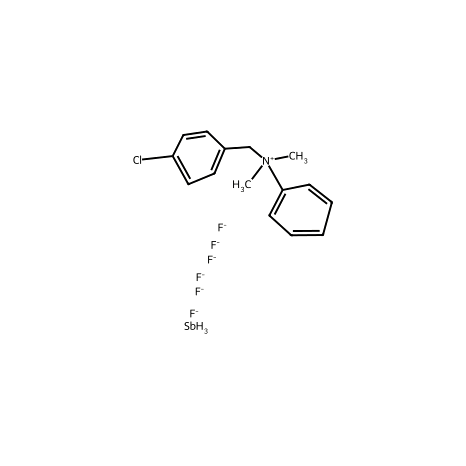 C[N+](C)(Cc1ccc(Cl)cc1)c1ccccc1.[F-].[F-].[F-].[F-].[F-].[F-].[SbH3]